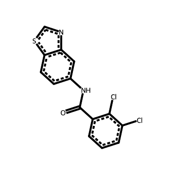 O=C(Nc1ccc2scnc2c1)c1cccc(Cl)c1Cl